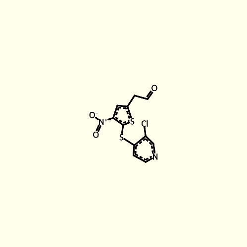 O=CCc1cc([N+](=O)[O-])c(Sc2ccncc2Cl)s1